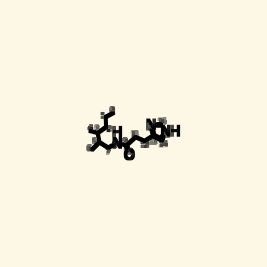 CCCC(C)C(C)CNC(=O)CCc1c[nH]cn1